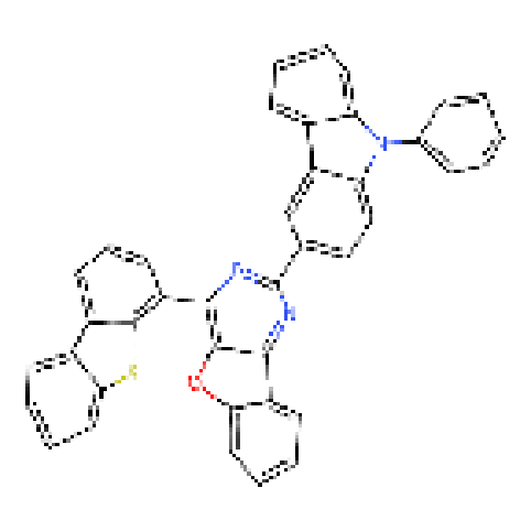 c1ccc(-n2c3ccccc3c3cc(-c4nc(-c5cccc6c5sc5ccccc56)c5oc6ccccc6c5n4)ccc32)cc1